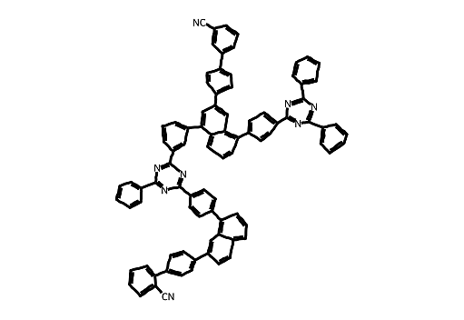 N#Cc1cccc(-c2ccc(-c3cc(-c4cccc(-c5nc(-c6ccccc6)nc(-c6ccc(-c7cccc8ccc(-c9ccc(-c%10ccccc%10C#N)cc9)cc78)cc6)n5)c4)c4cccc(-c5ccc(-c6nc(-c7ccccc7)nc(-c7ccccc7)n6)cc5)c4c3)cc2)c1